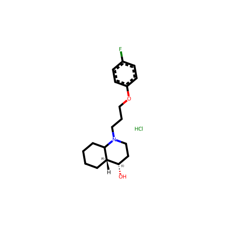 Cl.O[C@H]1CCN(CCCOc2ccc(F)cc2)C2CCCC[C@H]21